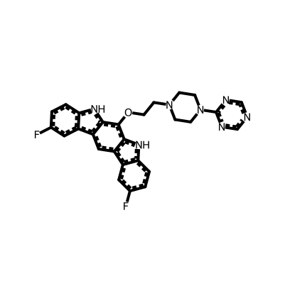 Fc1ccc2[nH]c3c(OCCN4CCN(c5ncncn5)CC4)c4[nH]c5ccc(F)cc5c4cc3c2c1